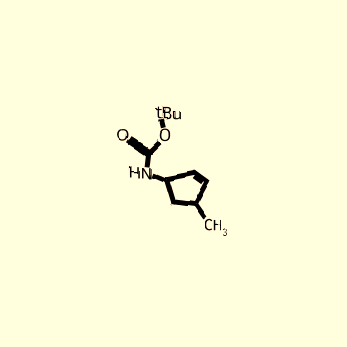 CC1C=CC(NC(=O)OC(C)(C)C)C1